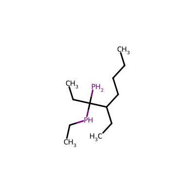 CCCCC(CC)C(P)(CC)PCC